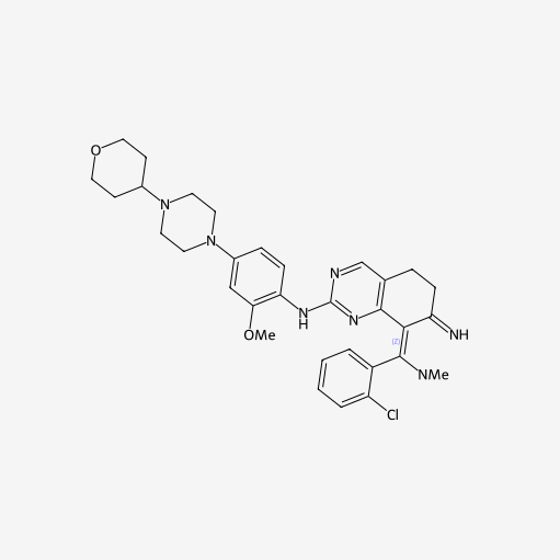 CN/C(=C1\C(=N)CCc2cnc(Nc3ccc(N4CCN(C5CCOCC5)CC4)cc3OC)nc21)c1ccccc1Cl